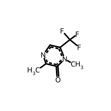 Cc1ncc(C(F)(F)F)n(C)c1=O